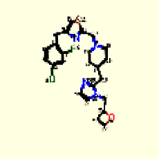 Fc1cc(Cl)ccc1Cc1csc(CN2CCC(Cc3nccn3C[C@@H]3CCO3)CC2)n1